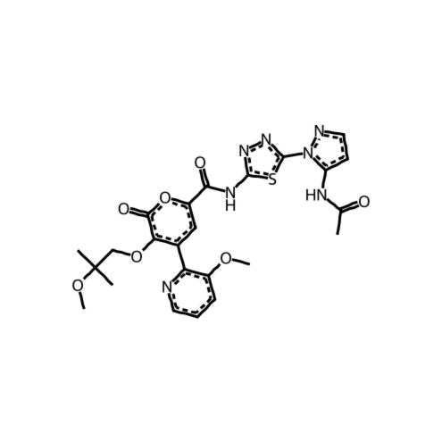 COc1cccnc1-c1cc(C(=O)Nc2nnc(-n3nccc3NC(C)=O)s2)oc(=O)c1OCC(C)(C)OC